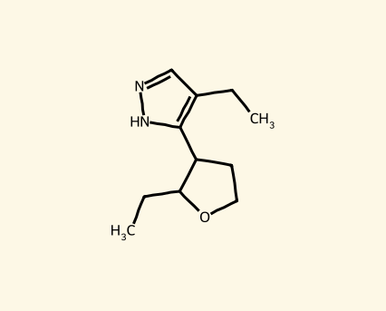 CCc1cn[nH]c1C1CCOC1CC